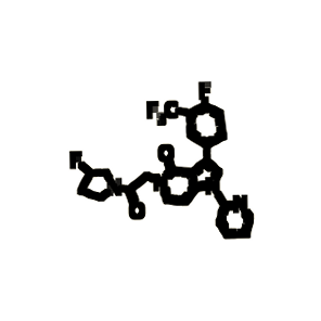 O=C(Cn1ccc2c(c(-c3ccc(F)c(C(F)(F)F)c3)cn2-c2ccccn2)c1=O)N1CCC(F)C1